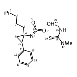 CC(C)CCCC1(N=S(=O)=O)CC1c1ccccc1.CNC(=S)NC=O